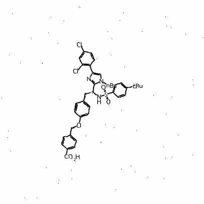 CCCCn1cc(-c2ccc(Cl)cc2Cl)nc1[C@H](Cc1ccc(OCc2ccc(C(=O)O)cc2)cc1)NS(=O)(=O)c1ccc(C(C)(C)C)cc1